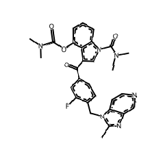 Cc1nc2cnccc2n1Cc1ccc(C(=O)c2cn(C(=O)N(C)C)c3cccc(OC(=O)N(C)C)c23)cc1F